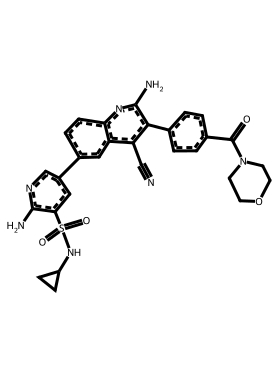 N#Cc1c(-c2ccc(C(=O)N3CCOCC3)cc2)c(N)nc2ccc(-c3cnc(N)c(S(=O)(=O)NC4CC4)c3)cc12